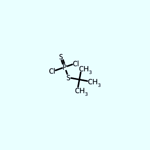 CC(C)(C)SP(=S)(Cl)Cl